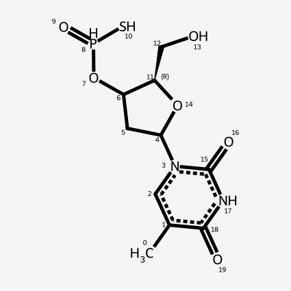 Cc1cn(C2CC(O[PH](=O)S)[C@@H](CO)O2)c(=O)[nH]c1=O